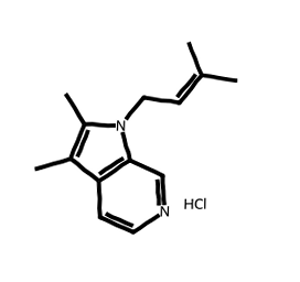 CC(C)=CCn1c(C)c(C)c2ccncc21.Cl